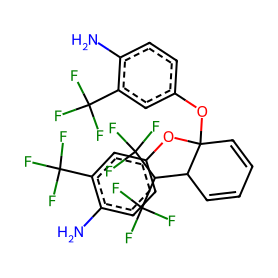 Nc1ccc(OC2(Oc3ccc(N)c(C(F)(F)F)c3)C=CC=CC2C(C(F)(F)F)C(F)(F)F)cc1C(F)(F)F